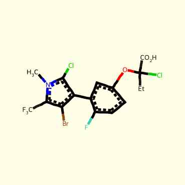 CCC(Cl)(Oc1ccc(F)c(-c2c(Br)c(C(F)(F)F)n(C)c2Cl)c1)C(=O)O